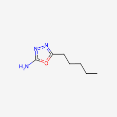 CCCCCc1nnc(N)o1